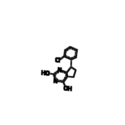 Oc1nc(O)c2c(n1)C(c1ccccc1Cl)CC2